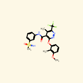 COc1cccc(Oc2nnc(C(F)(F)F)c(C)c2C(=O)Nc2cccc(S(C)(=N)=O)c2)c1C